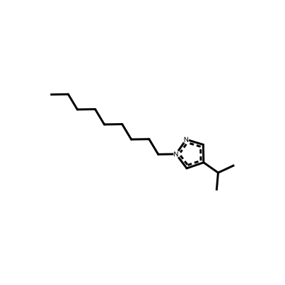 CCCCCCCCCn1cc(C(C)C)cn1